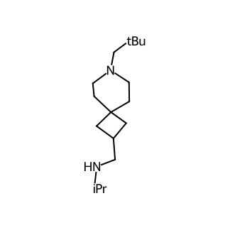 CC(C)NCC1CC2(CCN(CC(C)(C)C)CC2)C1